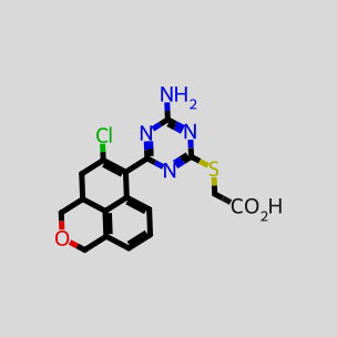 Nc1nc(SCC(=O)O)nc(C2=C(Cl)CC3COCc4cccc2c43)n1